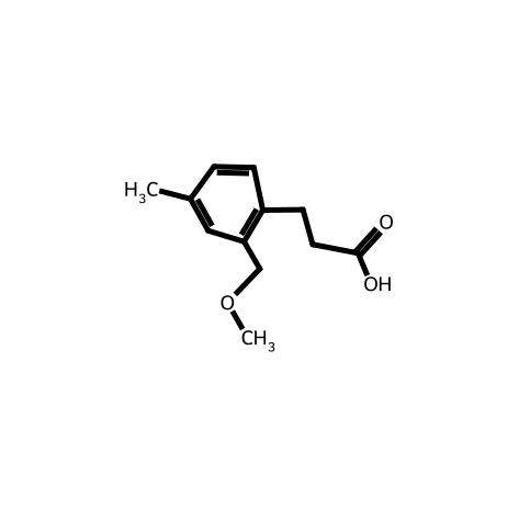 COCc1cc(C)ccc1CCC(=O)O